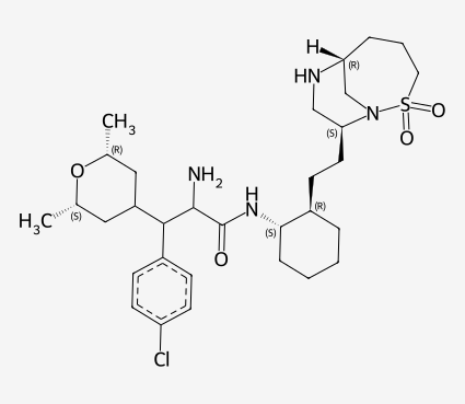 C[C@@H]1CC(C(c2ccc(Cl)cc2)C(N)C(=O)N[C@H]2CCCC[C@@H]2CC[C@H]2CN[C@@H]3CCCS(=O)(=O)N2C3)C[C@H](C)O1